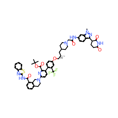 C[C@H](COc1ccc(-c2ccc(N3CCc4cccc(C(=O)Nc5nc6ccccc6s5)c4C3)nc2C(=O)OC(C)(C)C)c(C(F)(F)F)c1)CC1CCN(CC(=O)Nc2ccc3c(C4CCC(=O)NC4=O)nn(C)c3c2)CC1